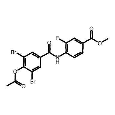 COC(=O)c1ccc(NC(=O)c2cc(Br)c(OC(C)=O)c(Br)c2)c(F)c1